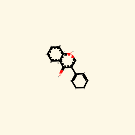 O=c1c(C2=CCCC=C2)coc2ccccc12